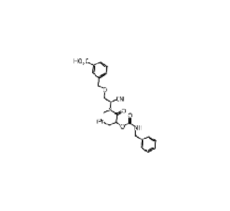 CC(C)CC(OC(=O)NCc1ccccc1)C(=O)N(C)C(C#N)COCc1cccc(C(=O)O)c1